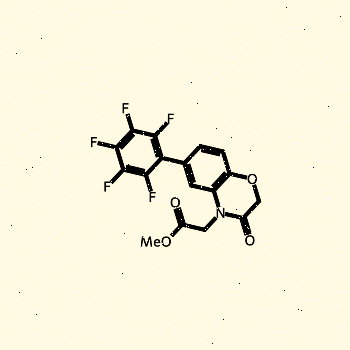 COC(=O)CN1C(=O)COc2ccc(-c3c(F)c(F)c(F)c(F)c3F)cc21